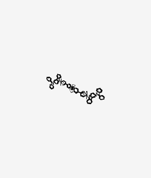 O=S(=O)(c1ccc(-c2ccc(-n3c4ccccc4c4cc(N(c5ccccc5)c5ccccc5)ccc43)nc2)cc1)c1ccc(-c2ccc(-n3c4ccccc4c4cc(N(c5ccccc5)c5ccccc5)ccc43)nc2)cc1